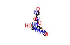 COc1ccc(-c2nc(C(=O)Nc3cc4sc(N5CCOCC5)nc4nc3N3CC[C@@H](O)C3)co2)cn1